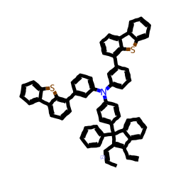 C=CC1=C(/C=C\C)C(c2ccccc2)(c2ccc(N(c3cccc(-c4cccc5c4sc4ccccc45)c3)c3cccc(-c4cccc5c4sc4ccccc45)c3)cc2)c2ccccc21